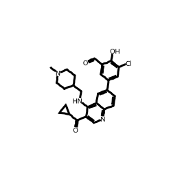 CN1CCC(CNc2c(C(=O)C3CC3)cnc3ccc(-c4cc(Cl)c(O)c(C=O)c4)cc23)CC1